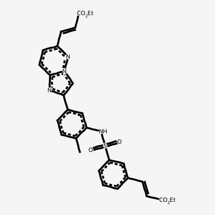 CCOC(=O)C=Cc1cccc(S(=O)(=O)Nc2cc(-c3cn4nc(C=CC(=O)OCC)ccc4n3)ccc2C)c1